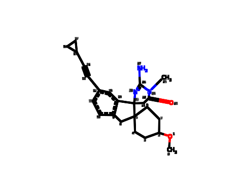 COC1CCC2(CC1)Cc1ccc(C#CC3CC3)cc1C21CC(=O)N(C)C(N)=N1